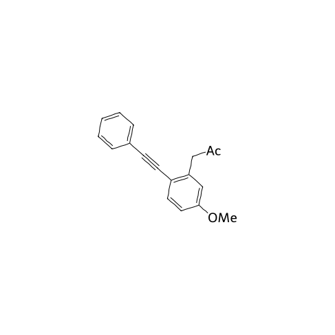 COc1ccc(C#Cc2ccccc2)c(CC(C)=O)c1